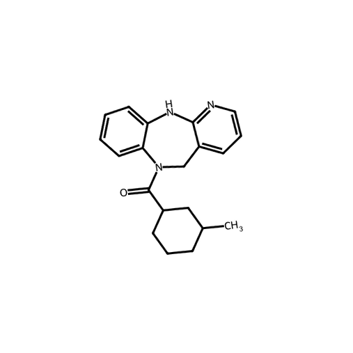 CC1CCCC(C(=O)N2Cc3cccnc3Nc3ccccc32)C1